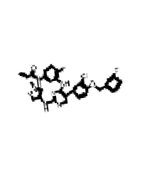 C=CC(=O)Nc1ccc(F)c(Nc2nc(Nc3cnn(C)c3)ncc2-c2ccc(OCc3cccc(F)c3)c(Cl)c2)c1